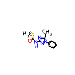 CCc1nc(NC(=O)SC)nn1-c1ccccc1